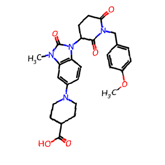 COc1ccc(CN2C(=O)CCC(n3c(=O)n(C)c4cc(N5CCC(C(=O)O)CC5)ccc43)C2=O)cc1